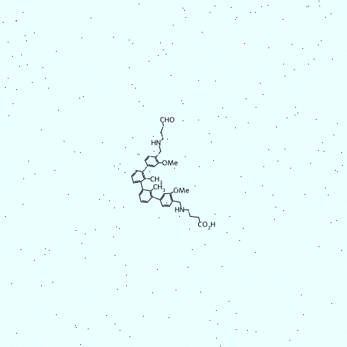 COc1cc(-c2cccc(-c3cccc(-c4ccc(CNCCCC(=O)O)c(OC)c4)c3C)c2C)ccc1CNCCCC=O